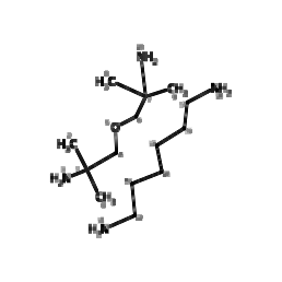 CC(C)(N)COCC(C)(C)N.NCCCCCCN